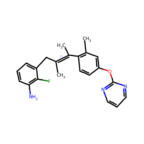 C/C(Cc1cccc(N)c1F)=C(/C)c1ccc(Oc2ncccn2)cc1C